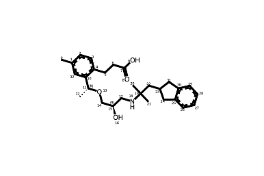 Cc1ccc(CCC(=O)O)c([C@@H](C)OC[C@H](O)CNC(C)(C)CC2Cc3ccccc3C2)c1